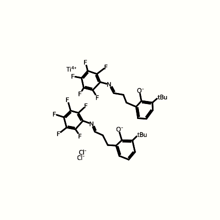 CC(C)(C)c1cccc(CCC=Nc2c(F)c(F)c(F)c(F)c2F)c1[O-].CC(C)(C)c1cccc(CCC=Nc2c(F)c(F)c(F)c(F)c2F)c1[O-].[Cl-].[Cl-].[Ti+4]